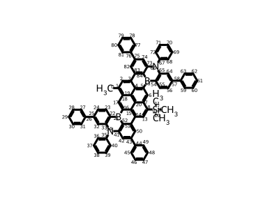 Cc1cc2c3c(cc4c([Si](C)(C)C)cc5c6c(cc1c3c46)B1c3ccc(-c4ccccc4)cc3N(c3ccccc3)c3cc(-c4ccccc4)cc-5c31)B1c3ccc(-c4ccccc4)cc3N(c3ccccc3)c3cc(-c4ccccc4)cc-2c31